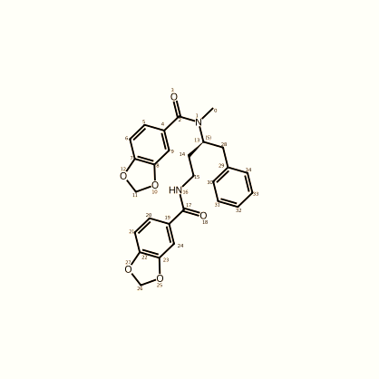 CN(C(=O)c1ccc2c(c1)OCO2)[C@H](CCNC(=O)c1ccc2c(c1)OCO2)Cc1ccccc1